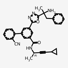 C[C@H](C#CC1CC1)NC(=O)c1cc(-c2nnc(C(C)(N)Cc3ccccc3)o2)cc(-c2ccccc2C#N)c1